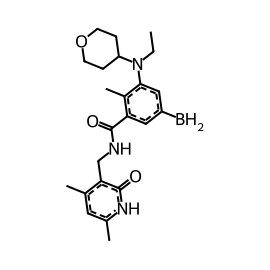 Bc1cc(C(=O)NCc2c(C)cc(C)[nH]c2=O)c(C)c(N(CC)C2CCOCC2)c1